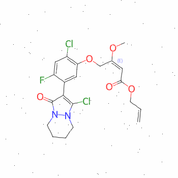 C=CCOC(=O)/C=C(\COc1cc(-c2c(Cl)n3n(c2=O)CCCC3)c(F)cc1Cl)OC